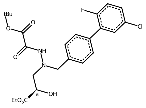 CCOC(=O)[C@H](O)CN(Cc1ccc(-c2cc(Cl)ccc2F)cc1)NC(=O)C(=O)OC(C)(C)C